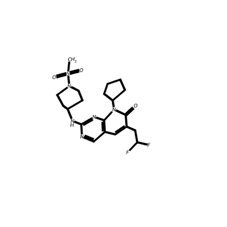 CS(=O)(=O)N1CCC(Nc2ncc3cc(CC(F)F)c(=O)n(C4CCCC4)c3n2)CC1